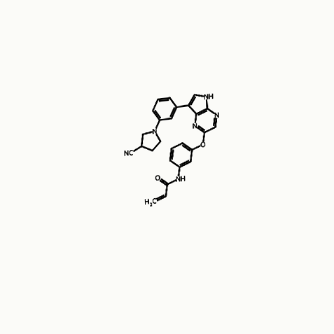 C=CC(=O)Nc1cccc(Oc2cnc3[nH]cc(-c4cccc(N5CCC(C#N)C5)c4)c3n2)c1